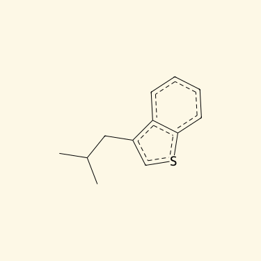 CC(C)Cc1csc2ccccc12